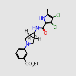 CCOC(=O)c1cccc(N2C[C@@H]3C(NC(=O)c4[nH]c(C)c(Cl)c4Cl)[C@@H]3C2)c1